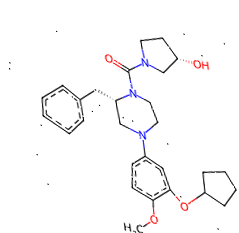 COc1ccc(N2CCN(C(=O)N3CC[C@H](O)C3)[C@@H](Cc3ccccc3)C2)cc1OC1CCCC1